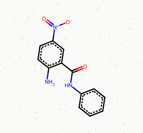 Nc1ccc([N+](=O)[O-])cc1C(=O)Nc1ccccc1